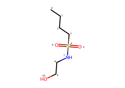 CCCCS(=O)(=O)NCCO